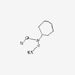 CCO[Si](OCC)C1CCCCC1